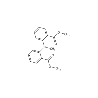 COC(=O)c1ccccc1[S+](C)c1ccccc1C(=O)OC